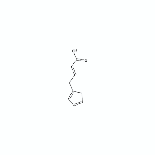 O=C(O)C=CCC1=CC=CC1